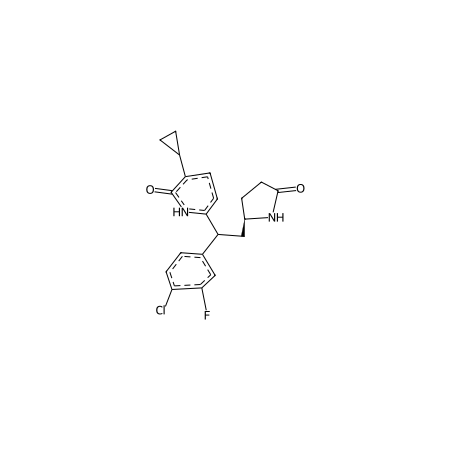 O=C1CC[C@H](CC(c2ccc(Cl)c(F)c2)c2ccc(C3CC3)c(=O)[nH]2)N1